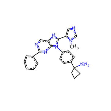 Cn1cncc1-c1nc2cnc(-c3ccccc3)nc2n1-c1ccc(C2(N)CCC2)cc1